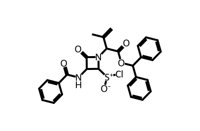 C=C(C)C(C(=O)OC(c1ccccc1)c1ccccc1)N1C(=O)C(NC(=O)c2ccccc2)C1[S+]([O-])Cl